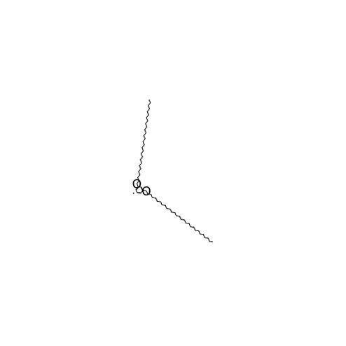 CCCCCCCCCCCCCCCCCCCCCCCCCCCCOc1c[c]cc(OCCCCCCCCCCCCCCCCCCCCCCCCCCCC)c1